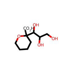 O=C(O)C1(C(O)C(O)CO)CCCCO1